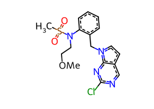 COCCN(c1ccccc1Cn1ccc2cnc(Cl)nc21)S(C)(=O)=O